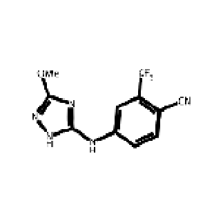 COc1n[nH]c(Nc2ccc(C#N)c(C(F)(F)F)c2)n1